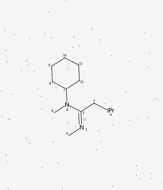 C/N=C(/CC(C)C)N(C)C1CCCCC1